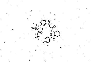 CC(C)(C)OC(=O)C(=[N+]=[N-])S(=O)(=O)c1ccccc1.Cc1ccc(S(=O)(=O)C2CCCCC2OC(=O)C=[N+]=[N-])cc1